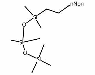 CCCCCCCCCCC[Si](C)(C)O[Si](C)(C)O[Si](C)(C)C